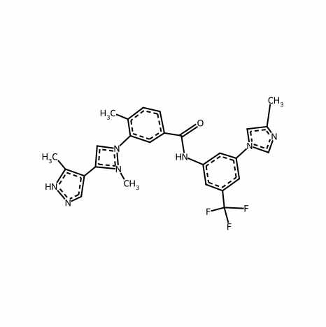 Cc1cn(-c2cc(NC(=O)c3ccc(C)c(-n4cc(-c5cn[nH]c5C)n4C)c3)cc(C(F)(F)F)c2)cn1